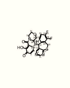 O=C1c2c(O)c(=O)ccn2N([C@@H]2c3cncnc3SCc3c2ccc(F)c3F)[C@@H]2COCCN12